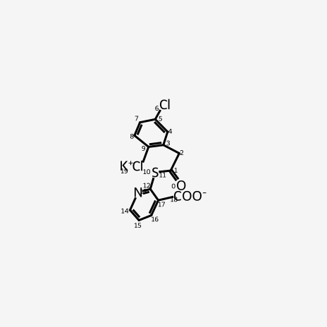 O=C(Cc1cc(Cl)ccc1Cl)Sc1ncccc1C(=O)[O-].[K+]